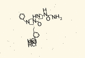 Cl.Cl.Cl.NCC(=O)NC1CN[C@@H](C(=O)N2CCN(Cc3ccccc3)C[C@H]2CCc2ccccc2)C1